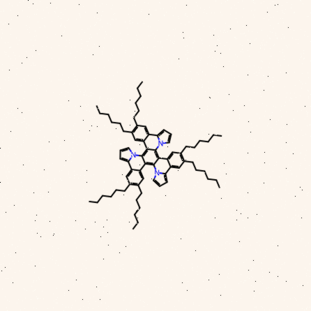 CCCCCCc1cc2c(cc1CCCCCC)c1cccn1c1c3c4cc(CCCCCC)c(CCCCCC)cc4c4cccn4c3c3c4cc(CCCCCC)c(CCCCCC)cc4c4cccn4c3c21